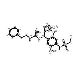 COc1cc2c(cc1NS(=O)(=O)CCl)OC(C)(C)[C@@](O)(C(C)(C)C)[C@H]2OC(=O)NCCc1ccccc1